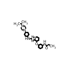 C=CC(=O)Nc1cccc(Oc2cccn3nc(Nc4ccc(N5CCN(C(C)C)CC5)cc4)nc23)c1